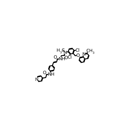 Cc1ccc2cccc(OCc3c(Cl)ccc(N(C)C(=O)CNC(=O)C=Cc4ccc(NC(=O)Cc5ccncc5)cc4)c3Cl)c2n1